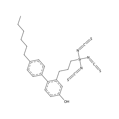 CCCCCCc1ccc(-c2ccc(O)cc2CCC[Si](N=C=S)(N=C=S)N=C=S)cc1